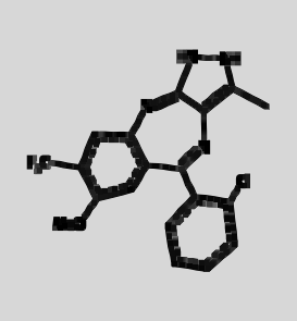 COc1cc2c(cc1C(F)(F)F)N=C1NNC(C)=C1N=C2c1ccccc1Cl